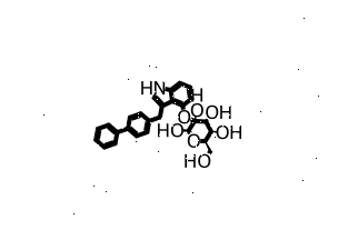 OC[C@H]1O[C@@H](O)[C@@](O)(Oc2cccc3[nH]cc(Cc4ccc(-c5ccccc5)cc4)c23)[C@@H](O)[C@@H]1O